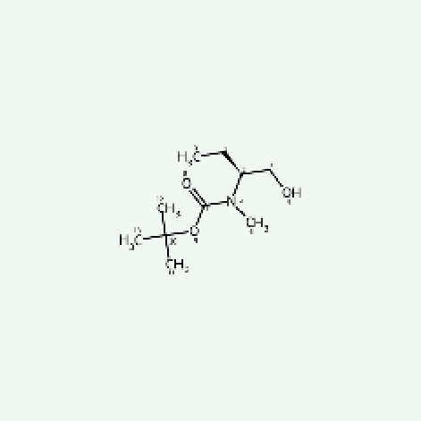 CC[C@@H](CO)N(C)C(=O)OC(C)(C)C